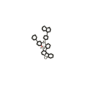 C[Si]1(C)c2ccc3oc4ccccc4c3c2-c2cccc(N(c3ccc(-c4cccc5ccccc45)cc3)c3cccc(-c4ccccc4)c3)c21